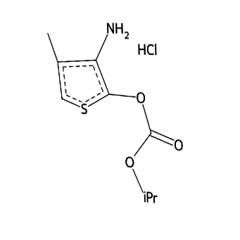 Cc1csc(OC(=O)OC(C)C)c1N.Cl